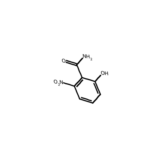 NC(=O)c1c(O)cccc1[N+](=O)[O-]